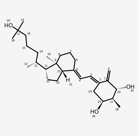 C=C1/C(=C/C=C2\CCC[C@]3(C)[C@@H]([C@H](C)CCCC(C)(C)O)CC[C@@H]23)C[C@H](O)[C@H](C)[C@H]1O